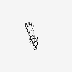 NCCCC(Cl)Cc1ccc2nc3ccc(=O)cc-3oc2c1